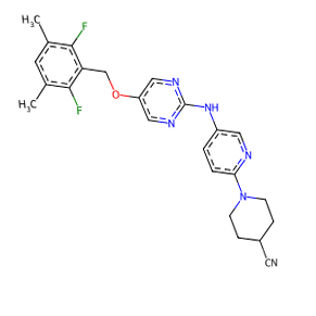 Cc1cc(C)c(F)c(COc2cnc(Nc3ccc(N4CCC(C#N)CC4)nc3)nc2)c1F